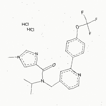 CC(C)N(Cc1ccnc(-c2ccc(OC(F)(F)F)cc2)c1)C(=O)c1cn(C)cn1.Cl.Cl